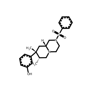 C[C@H]1CN2CCN(S(=O)(=O)c3ccccc3)C[C@H]2C[C@@]1(C)c1cccc(O)c1